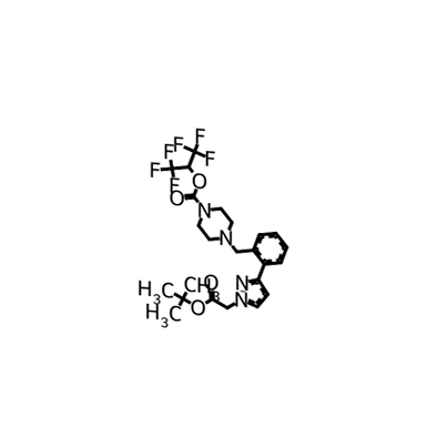 CC(C)(C)OC(=O)Cn1ccc(-c2ccccc2CN2CCN(C(=O)OC(C(F)(F)F)C(F)(F)F)CC2)n1